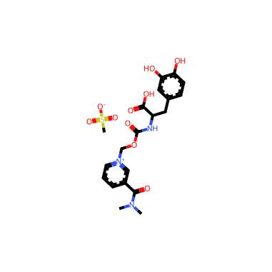 CN(C)C(=O)c1ccc[n+](COC(=O)NC(Cc2ccc(O)c(O)c2)C(=O)O)c1.CS(=O)(=O)[O-]